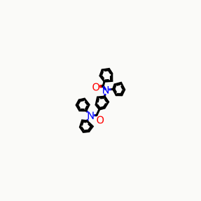 O=C(c1ccc(N(C(=O)c2ccccc2)c2ccccc2)cc1)N(c1ccccc1)c1ccccc1